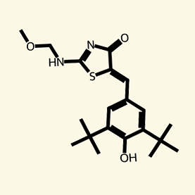 COCNC1=NC(=O)/C(=C/c2cc(C(C)(C)C)c(O)c(C(C)(C)C)c2)S1